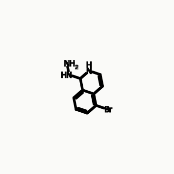 NNC1NC=Cc2c(Br)cccc21